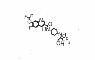 O=C(N[C@H]1CC[C@H](NC(CO)C(F)(F)F)CC1)c1cnc2cc(OC(F)F)c(F)cc2c1